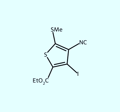 [C-]#[N+]c1c(SC)sc(C(=O)OCC)c1I